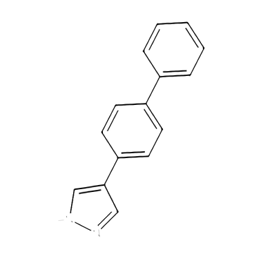 c1ccc(-c2ccc(-c3cn[nH]c3)cc2)cc1